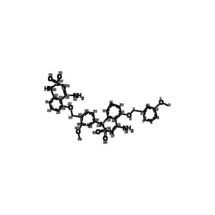 COc1cccc(COc2cccc3c2C(N)=NS(=O)(=O)N3c2ccc(COc3cccc4c3C(N)=NS(=O)(=O)N4)c(OC)c2)c1